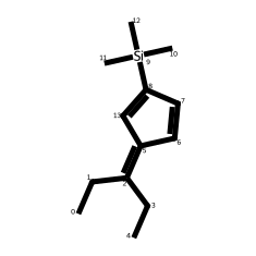 CCC(CC)=C1C=CC([Si](C)(C)C)=C1